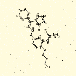 CCCCCc1ccc(CON=C(c2ccccc2)c2nnnn2C)nc1OC(N)=O